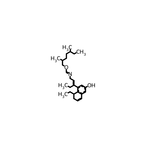 CC/C(=C\C/N=C/OCC(C)CCC(C)CC)c1cc(O)cc2c1C(CC)CC=C2